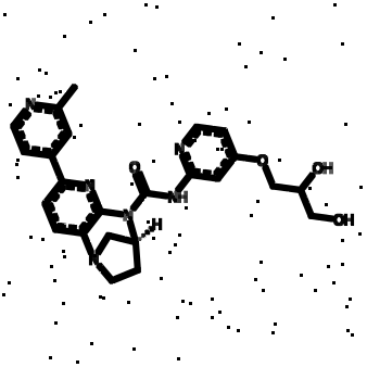 Cc1cc(-c2ccc3c(n2)N(C(=O)Nc2cc(OCC(O)CO)ccn2)[C@H]2CCN3C2)ccn1